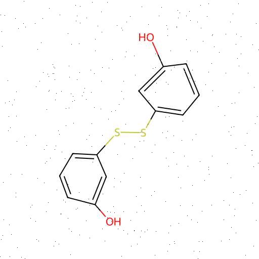 Oc1cccc(SSc2cccc(O)c2)c1